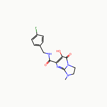 CN1CCn2c1nc(C(=O)NCc1ccc(F)cc1)c(O)c2=O